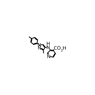 Cc1ccc(-n2cc(Nc3cnccc3C(=O)O)c(C)n2)cc1